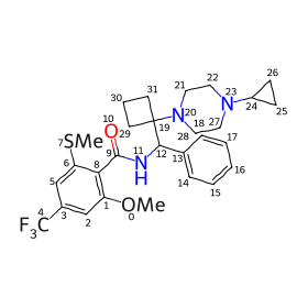 COc1cc(C(F)(F)F)cc(SC)c1C(=O)NC(c1ccccc1)C1(N2CCN(C3CC3)CC2)CCC1